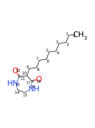 CCCCCCCCCCC1C(=O)NCCNC1=O